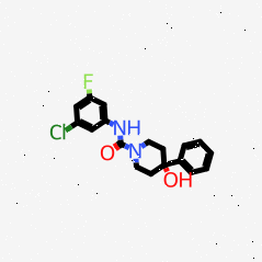 O=C(Nc1cc(F)cc(Cl)c1)N1CCC(O)(c2ccccc2)CC1